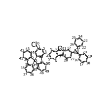 Clc1cc(-c2ccc3c(c2)oc2cc(N(c4ccccc4)c4ccccc4)ccc23)c2c(c1)C1(c3ccccc3-c3ccccc31)c1ccccc1-2